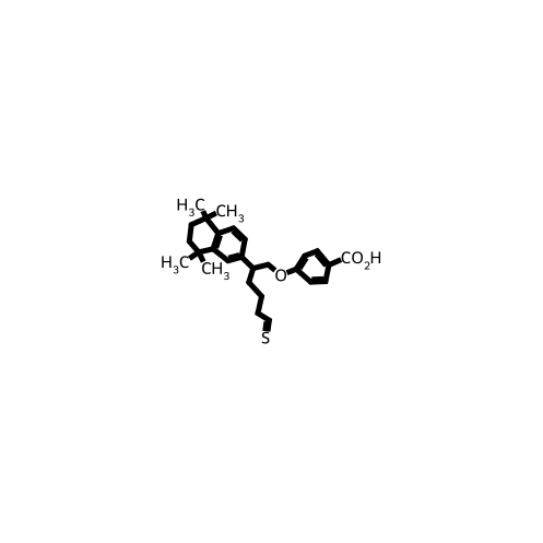 CC1(C)CCC(C)(C)c2cc(C(CCCC=S)COc3ccc(C(=O)O)cc3)ccc21